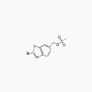 CS(=O)(=O)OCc1ccc2nc(Br)sc2c1